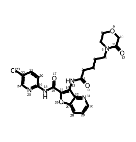 O=C(CCCCN1CCOCC1=O)Nc1c(C(=O)Nc2ccc(Cl)cn2)oc2cccnc12